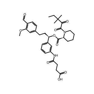 CCC(C)(C)C(=O)C(=O)N1CCCC[C@H]1C(=O)O[C@H](CCc1ccc(C=O)c(OC)c1)c1cccc(NC(=O)CCC(=O)O)c1